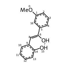 COc1cccc(C(O)=Cc2ccccc2O)c1